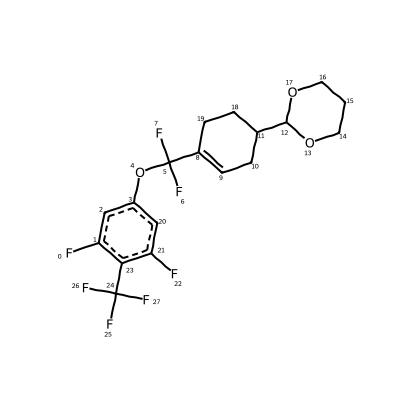 Fc1cc(OC(F)(F)C2=CCC(C3OCCCO3)CC2)cc(F)c1C(F)(F)F